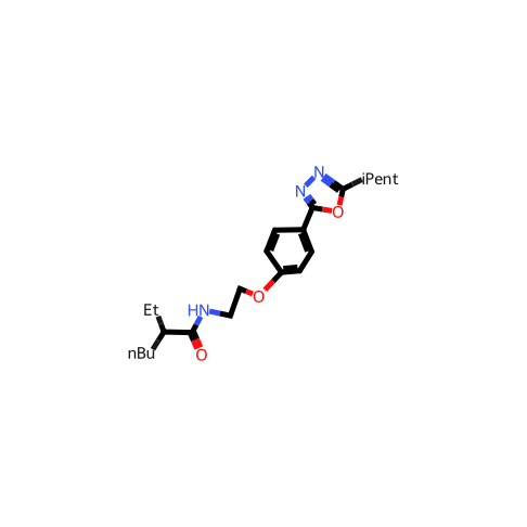 CCCCC(CC)C(=O)NCCOc1ccc(-c2nnc(C(C)CCC)o2)cc1